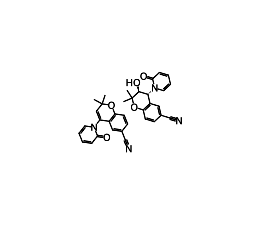 CC1(C)C=C(n2ccccc2=O)c2cc(C#N)ccc2O1.CC1(C)Oc2ccc(C#N)cc2[C@@H](n2ccccc2=O)[C@@H]1O